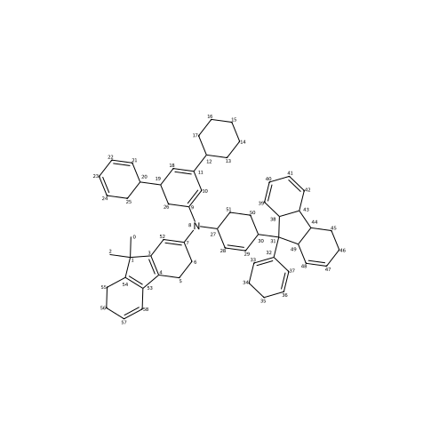 CC1(C)C2=C(CCC(N(C3=CC(C4CCCCC4)=CC(C4C=CC=CC4)C3)C3C=CC(C4(C5=CCCC=C5)C5C=CC=CC5C5CCC=CC54)CC3)=C2)C2=C1CCC=C2